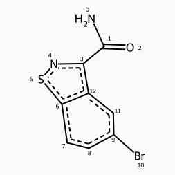 NC(=O)c1nsc2ccc(Br)cc12